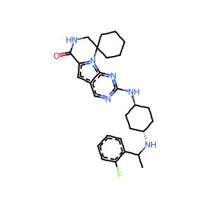 CC(N[C@H]1CC[C@H](Nc2ncc3cc4n(c3n2)C2(CCCCC2)CNC4=O)CC1)c1ccccc1F